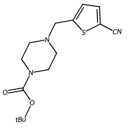 CC(C)(C)OC(=O)N1CCN(Cc2ccc(C#N)s2)CC1